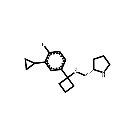 Fc1ccc(C2(NC[C@@H]3CCCN3)CCC2)cc1C1CC1